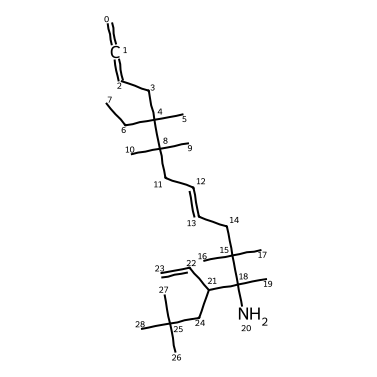 C=C=CCC(C)(CC)C(C)(C)C/C=C/CC(C)(C)C(C)(N)C(C=C)CC(C)(C)C